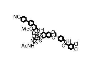 COC(=O)C(Cc1ccc(-c2ccc(C#N)cc2)cc1)NC(=O)[C@@H]1Cc2cc3c(cc2CN1S(=O)(=O)c1sc(NC(C)=O)nc1C)O[C@@H](c1ccc(NC(=O)c2ccc(Cl)c(Cl)c2)cc1)CO3